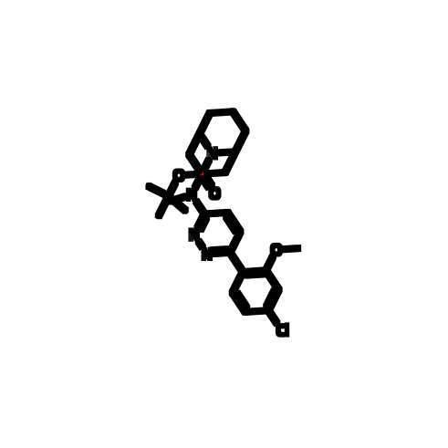 COc1cc(Cl)ccc1-c1ccc(N(C)C2CC3CCCC(C2)N3C(=O)OC(C)(C)C)nn1